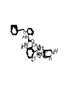 O=C(Nc1ccccc1OCc1ccccc1)Nc1ccc(Cl)c(S(=O)(=O)N2C[C@@H]3C[C@H]2CN3)c1O